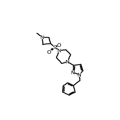 CN1CC(S(=O)(=O)N2CCN(c3ccn(Cc4ccccc4)n3)CC2)C1